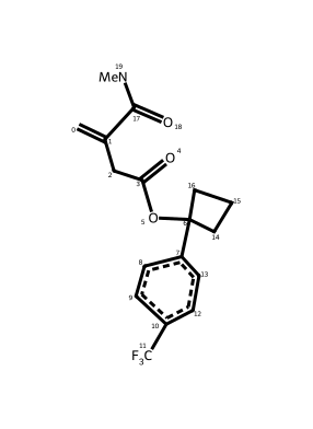 C=C(CC(=O)OC1(c2ccc(C(F)(F)F)cc2)CCC1)C(=O)NC